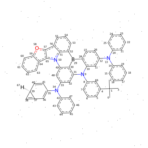 CC(C)(C)c1cccc(N2c3cc(N(c4ccccc4)c4ccccc4)ccc3B3c4c2cc(N(C2=CC5=C[C@H]5C=C2)c2ccccc2)cc4-n2c4c3cccc4c3oc4ccccc4c32)c1